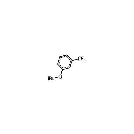 [CH2]C(CC)Oc1cccc(C(F)(F)F)c1